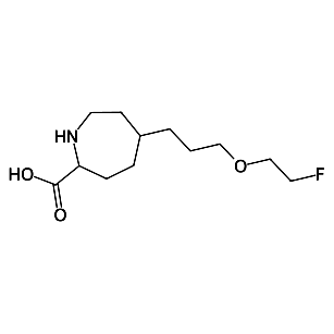 O=C(O)C1CCC(CCCOCCF)CCN1